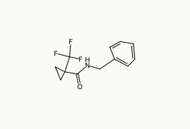 O=C(NCc1ccccc1)C1(C(F)(F)F)CC1